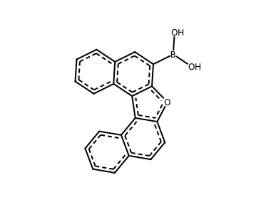 OB(O)c1cc2ccccc2c2c1oc1ccc3ccccc3c12